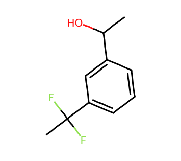 CC(O)c1cccc(C(C)(F)F)c1